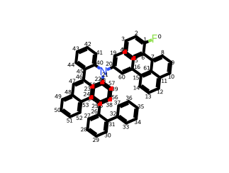 Fc1ccccc1-c1cccc2cccc(-c3cccc(N(c4ccc(-c5ccccc5-c5ccccc5)cc4)c4ccccc4-c4cc5ccccc5c5ccccc45)c3)c12